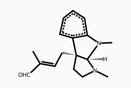 C/C(C=O)=C\C[C@@]12CCN(C)[C@@H]1N(C)c1ccccc12